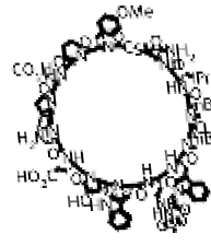 CCCC[C@H]1C(=O)N(C)[C@@H](CCCC)C(=O)N[C@@H](CC(C)C)C(=O)N[C@H](C(N)=O)C(C)(C)SCC(=O)N[C@@H](Cc2ccc(OC)cc2)C(=O)N2CCCC[C@H]2C(=O)N[C@@H](CC(=O)O)C(=O)N2CCC[C@H]2C(=O)N[C@@H](CN)C(=O)N[C@@H](CCC(=O)O)C(=O)N2C[C@H](O)C[C@H]2C(=O)N[C@@H](Cc2c[nH]c3ccccc23)C(=O)N[C@@H](CCN)C(=O)N[C@@H](Cc2cn(CC(=O)NS(C)(=O)=O)c3ccccc23)C(=O)N1C